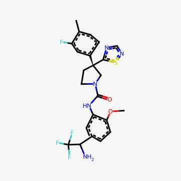 COc1ccc(C(N)C(F)(F)F)cc1NC(=O)N1CC[C@](c2ccc(C)c(F)c2)(c2ncns2)C1